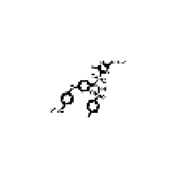 COc1ccc(Oc2ccc(N(NS(=O)(=O)c3ccc(C)cc3)S(=O)(=O)c3sc(NC(C)=O)nc3C)cc2)cc1